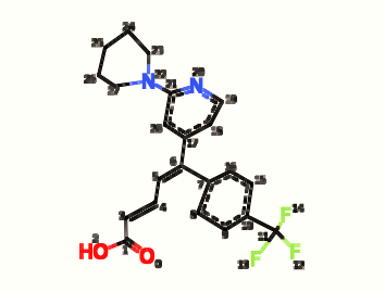 O=C(O)/C=C/C=C(\c1ccc(C(F)(F)F)cc1)c1ccnc(N2CCCCC2)c1